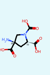 N[C@]1(C(=O)O)C[C@@H](C(=O)O)N(C(=O)O)C1